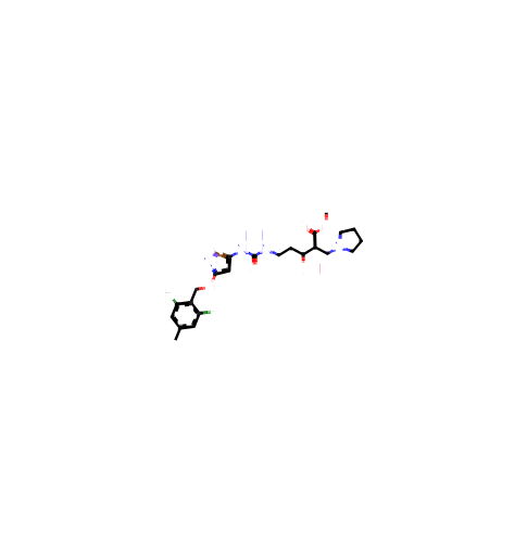 COC(=O)C(CN1CCCC1)C(O)CCNC(=O)Nc1cc(OCc2c(F)cc(C)cc2F)ns1